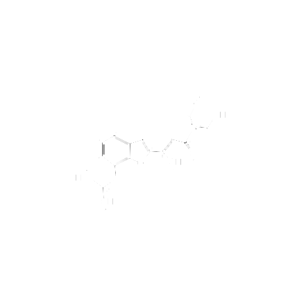 CCN(CC)C(=O)C=C(C)c1cc2cccc(OC(C)C)c2o1